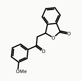 COc1cccc(C(=O)CC2OC(=O)c3ccccc32)c1